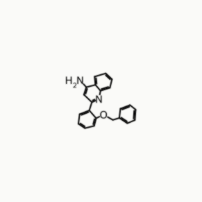 Nc1cc(-c2ccccc2OCc2ccccc2)nc2ccccc12